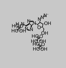 O=P(O)(O)O.O=P(O)(O)O.O=P(O)(O)O.[N-]=[N+]=NC1[C@H](n2cnc3c(N)ncnc32)O[C@H](CO)[C@H]1O